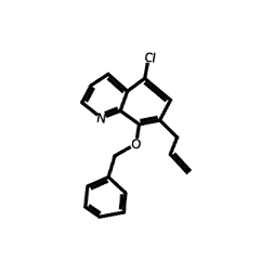 C=CCc1cc(Cl)c2cccnc2c1OCc1ccccc1